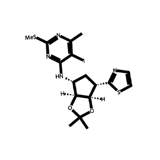 CSc1nc(C)c(I)c(N[C@@H]2C[C@H](c3nccs3)[C@H]3OC(C)(C)O[C@H]32)n1